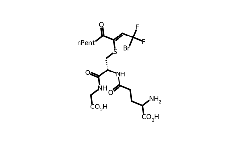 CCCCCC(=O)/C(=C/C(F)(F)Br)SC[C@H](NC(=O)CCC(N)C(=O)O)C(=O)NCC(=O)O